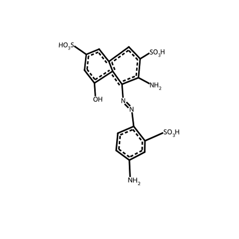 Nc1ccc(/N=N/c2c(N)c(S(=O)(=O)O)cc3cc(S(=O)(=O)O)cc(O)c23)c(S(=O)(=O)O)c1